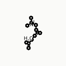 C=C(/C=C\C=C1/CN(c2ccccc2)c2ccccc21)c1ccc(-n2c3ccccc3c3cc(-c4cccc(-c5nc(-c6ccccc6)cc(-c6ccccc6)n5)c4)ccc32)cc1